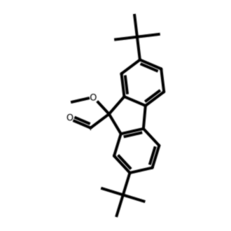 COC1([C]=O)c2cc(C(C)(C)C)ccc2-c2ccc(C(C)(C)C)cc21